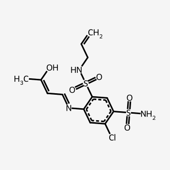 C=CCNS(=O)(=O)c1cc(S(N)(=O)=O)c(Cl)cc1/N=C/C=C(/C)O